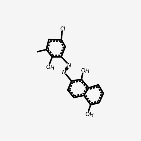 Cc1cc(Cl)cc(N=Nc2ccc3c(O)cccc3c2O)c1O